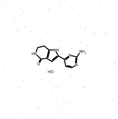 Cl.Nc1nccc(-c2cc3c([nH]2)CCNC3=O)n1